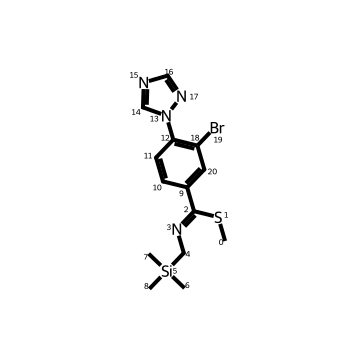 CSC(=NC[Si](C)(C)C)c1ccc(-n2cncn2)c(Br)c1